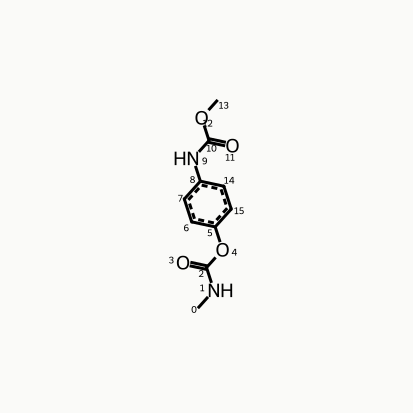 CNC(=O)Oc1ccc(NC(=O)OC)cc1